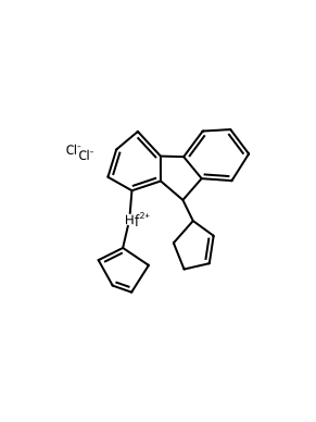 C1=CC[C]([Hf+2][c]2cccc3c2C(C2C=CCC2)c2ccccc2-3)=C1.[Cl-].[Cl-]